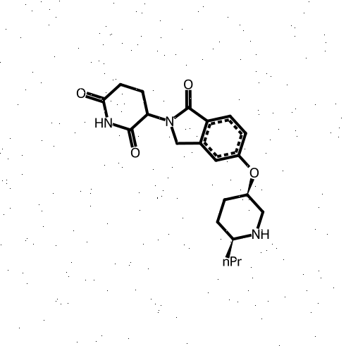 CCC[C@H]1CC[C@@H](Oc2ccc3c(c2)CN(C2CCC(=O)NC2=O)C3=O)CN1